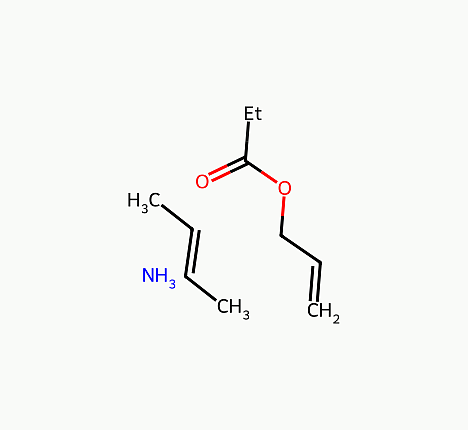 C=CCOC(=O)CC.CC=CC.N